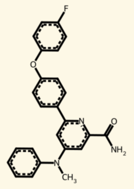 CN(c1ccccc1)c1cc(C(N)=O)nc(-c2ccc(Oc3ccc(F)cc3)cc2)c1